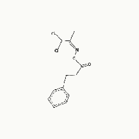 CC(=NOC(=O)CCc1ccccc1)C(Cl)Cl